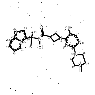 CCN(C(=O)C1CN(c2nc(N3CCNCC3)ncc2Cl)C1)C(C)(C)c1cnc2ccccn12